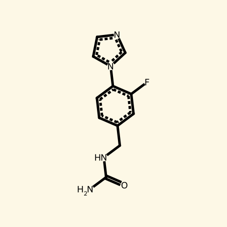 NC(=O)NCc1ccc(-n2ccnc2)c(F)c1